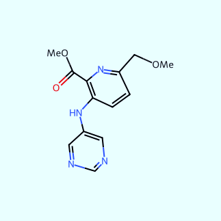 COCc1ccc(Nc2cncnc2)c(C(=O)OC)n1